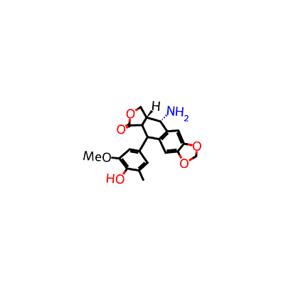 COc1cc(C2c3cc4c(cc3[C@@H](N)[C@H]3COC(=O)C23)OCO4)cc(C)c1O